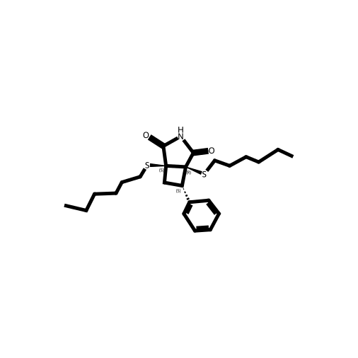 CCCCCCS[C@]12C[C@@H](c3ccccc3)[C@@]1(SCCCCCC)C(=O)NC2=O